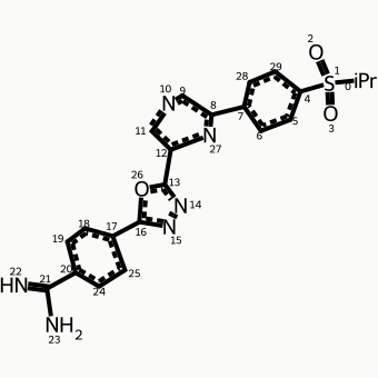 CC(C)S(=O)(=O)c1ccc(-c2cncc(-c3nnc(-c4ccc(C(=N)N)cc4)o3)n2)cc1